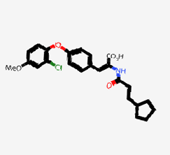 COc1ccc(Oc2ccc(/C=C(/NC(=O)CCC3CCCC3)C(=O)O)cc2)c(Cl)c1